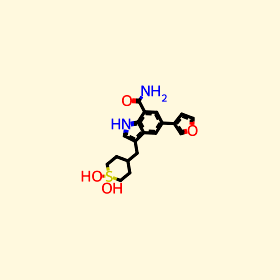 NC(=O)c1cc(-c2ccoc2)cc2c(CC3CCS(O)(O)CC3)c[nH]c12